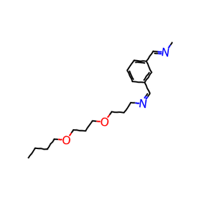 CCCCOCCCOCCC/N=C\c1cccc(/C=N/C)c1